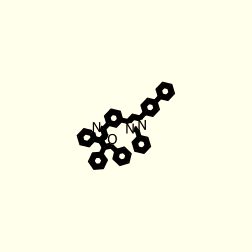 c1ccc(-c2ccc(-c3cc(-c4cccc(-c5nc6ccccc6c6c(-c7ccccc7)c(-c7ccccc7)oc56)c4)nc(-c4ccccc4)n3)cc2)cc1